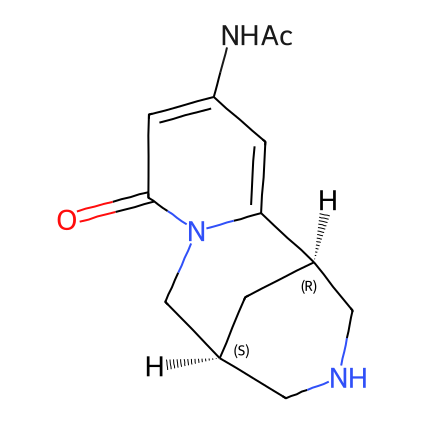 CC(=O)Nc1cc2n(c(=O)c1)C[C@@H]1CNC[C@H]2C1